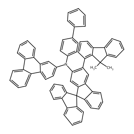 CC1(C)c2ccccc2-c2cccc(-c3cc4c(cc3N(c3ccc(-c5ccccc5)cc3)c3ccc5c6ccccc6c6ccccc6c5c3)C3(c5ccccc5-c5ccccc53)c3ccccc3-4)c21